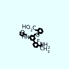 C[C@@H](N)c1cccc(-c2cc(COc3ccccc3CC(=O)O)cc(NCC3CCCO3)c2)c1F